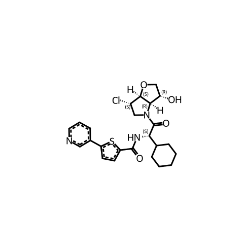 O=C(N[C@H](C(=O)N1C[C@H](Cl)[C@H]2OC[C@H](O)[C@H]21)C1CCCCC1)c1ccc(-c2cccnc2)s1